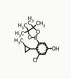 CC1CC1c1c(Cl)cc(O)cc1B1OC(C)(C)C(C)(C)O1